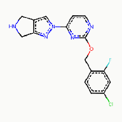 Fc1cc(Cl)ccc1COc1nccc(-n2cc3c(n2)CNC3)n1